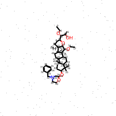 CCO[C@H](C(C)O)C1C[C@@H](C)[C@H]2C(O1)[C@H](OCC)[C@@]1(C)C3CC[C@H]4C(C)(C)C(OC5CN(Cc6ccccc6)CCO5)CC[C@@]45C[C@@]35CC[C@]21C